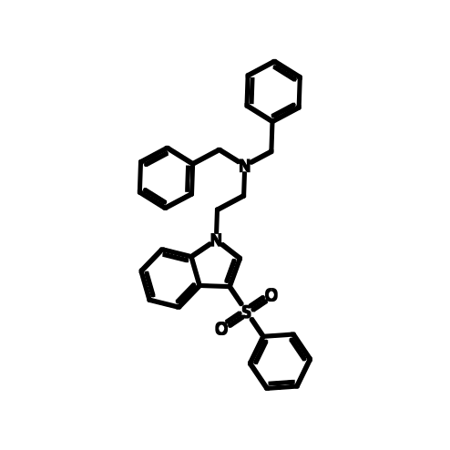 O=S(=O)(c1ccccc1)c1cn(CCN(Cc2ccccc2)Cc2ccccc2)c2ccccc12